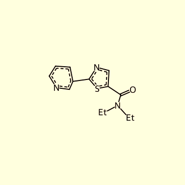 CCN(CC)C(=O)c1cnc(-c2cccnc2)s1